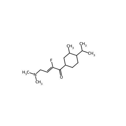 CC(C)C1CCC(C(=O)/C(F)=C/CN(C)C)CC1C